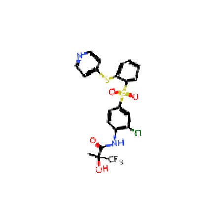 C[C@@](O)(C(=O)Nc1ccc(S(=O)(=O)c2ccccc2Sc2ccncc2)cc1Cl)C(F)(F)F